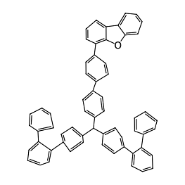 c1ccc(-c2ccccc2-c2ccc(C(c3ccc(-c4ccc(-c5cccc6c5oc5ccccc56)cc4)cc3)c3ccc(-c4ccccc4-c4ccccc4)cc3)cc2)cc1